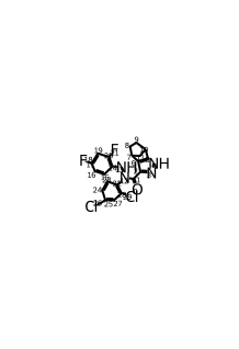 O=C(c1n[nH]c2c1C1CCC2C1)N(Nc1ccc(F)cc1F)c1ccc(Cl)cc1Cl